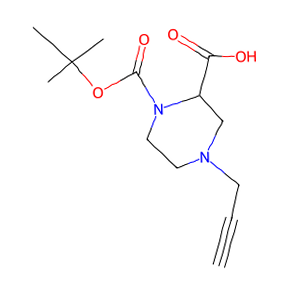 C#CCN1CCN(C(=O)OC(C)(C)C)C(C(=O)O)C1